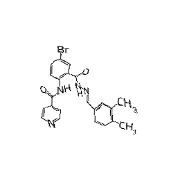 Cc1ccc(C=NNC(=O)c2cc(Br)ccc2NC(=O)c2ccncc2)cc1C